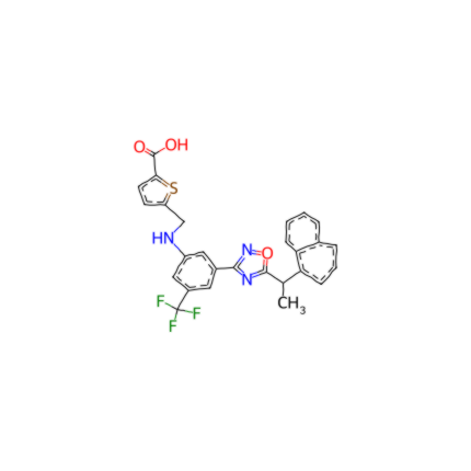 CC(c1nc(-c2cc(NCc3ccc(C(=O)O)s3)cc(C(F)(F)F)c2)no1)c1cccc2ccccc12